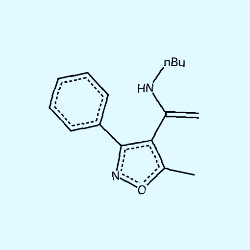 C=C(NCCCC)c1c(-c2ccccc2)noc1C